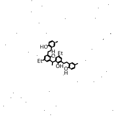 CCc1cc(CCc2cc(C)ccc2O)c(O)c(C(C)c2cc(CC)cc(CCc3cc(C)ccc3O)c2O)c1